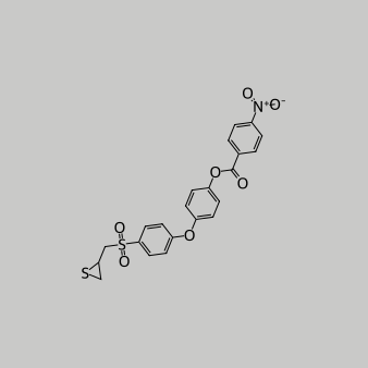 O=C(Oc1ccc(Oc2ccc(S(=O)(=O)CC3CS3)cc2)cc1)c1ccc([N+](=O)[O-])cc1